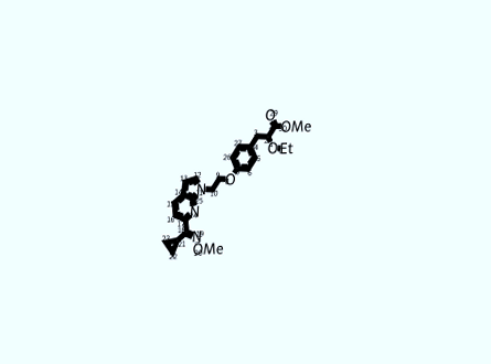 CCOC(Cc1ccc(OCCn2ccc3ccc(C(=NOC)C4CC4)nc32)cc1)C(=O)OC